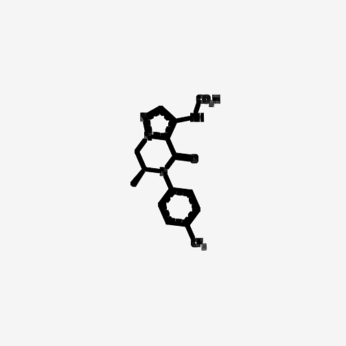 C[C@H]1Cn2ncc(NC(=O)O)c2C(=O)N1c1ccc(C(F)(F)F)cc1